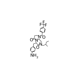 CCC(C)CN1CC2N(C(=O)c3ccc(C(F)(F)F)cc3)CCC(=O)N2C(Cc2ccc(N)cc2)C1=O